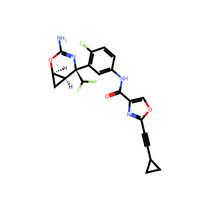 NC1=N[C@@](c2cc(NC(=O)c3coc(C#CC4CC4)n3)ccc2F)(C(F)F)[C@H]2C[C@H]2O1